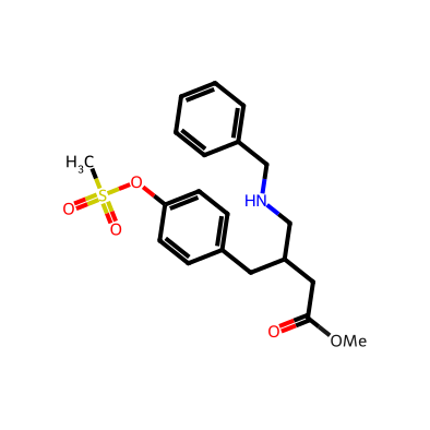 COC(=O)CC(CNCc1ccccc1)Cc1ccc(OS(C)(=O)=O)cc1